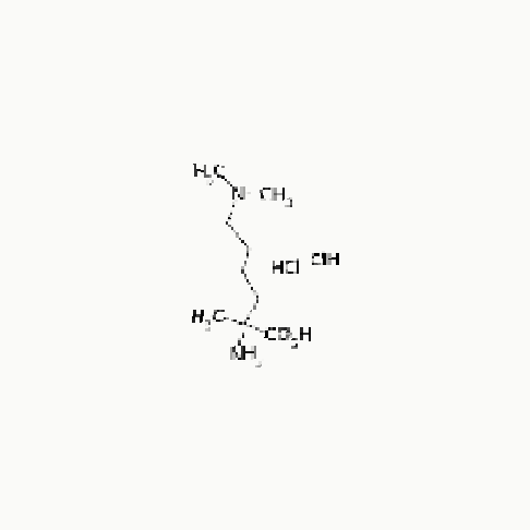 CN(C)CCCCC(C)(N)C(=O)O.Cl.Cl